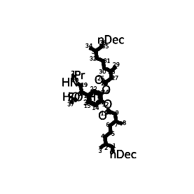 CCCCCCCCCCCC(C)CCCC(C)CC(=O)Oc1ccc(C(O)CNC(C)C)cc1OC(=O)CC(C)CCCC(C)CCCCCCCCCCC.CS(=O)(=O)O